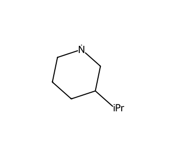 CC(C)C1CCC[N]C1